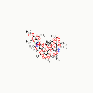 COC(=O)[C@@]1(OCC2O[C@@H](O[C@@H]3C(COC(C)=O)O[C@@H](OC(C(OC(C)=O)[C@@H](CCOC(C)=O)OC(C)=O)[C@H](O)F)C(NC(C)=O)C3C)[C@@H](OC(C)=O)C(OC(C)=O)[C@H]2OC(C)=O)C[C@@H](OC(C)=O)[C@@H](NC(C)=O)C([C@H](OC(C)=O)[C@@H](COC(C)=O)OC(C)=O)O1